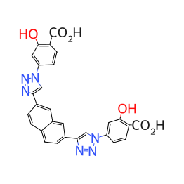 O=C(O)c1ccc(-n2cc(-c3ccc4ccc(-c5cn(-c6ccc(C(=O)O)c(O)c6)nn5)cc4c3)nn2)cc1O